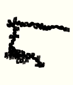 Cc1cc(OCCCC(=O)NCCCNc2c(NCCOCCOCCOCCOCCCCCCCCCCCS)c(=O)c2=O)cc(C)c1S(=O)(=O)N[C@@H](CNC(=O)N1CCN(C(=O)CCCNC2=NCCN2)CC1)C(=O)O